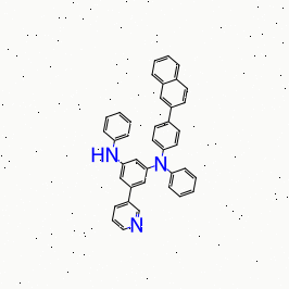 c1ccc(Nc2cc(-c3cccnc3)cc(N(c3ccccc3)c3ccc(-c4ccc5ccccc5c4)cc3)c2)cc1